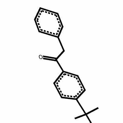 CC(C)(N)c1ccc(C(=O)Cc2ccccc2)cc1